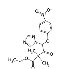 CCOC(=O)C(C)(C)C(=O)C(Oc1ccc([N+](=O)[O-])cc1)n1cncn1